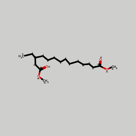 CCC(CCCCCCCCCCC(=O)OC)CC(=O)OC